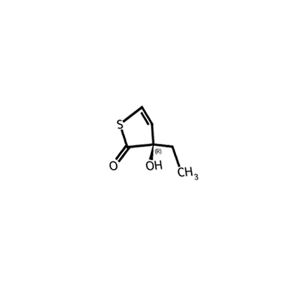 CC[C@@]1(O)C=CSC1=O